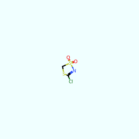 O=S1(=O)CSC(Cl)=N1